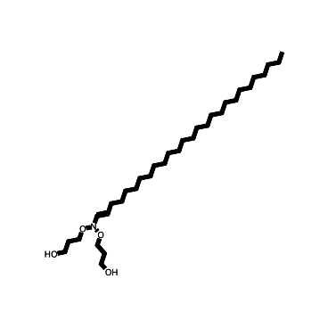 CCCCCCCCCCCCCCCCCCCCCCCCCC=CN(OCCCO)OCCCO